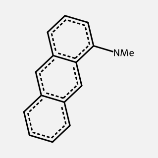 CNc1cccc2cc3ccccc3cc12